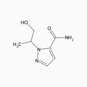 CC(CO)n1nccc1C(N)=O